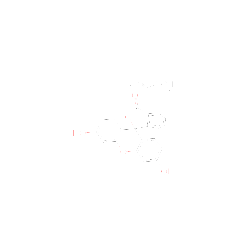 C=CC(=O)O.O=C1OC2(c3ccc(O)cc3Oc3cc(O)ccc32)c2ccccc21